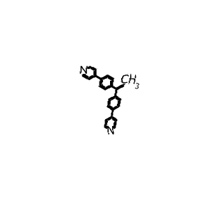 CC=C(c1ccc(-c2ccncc2)cc1)c1ccc(-c2ccncc2)cc1